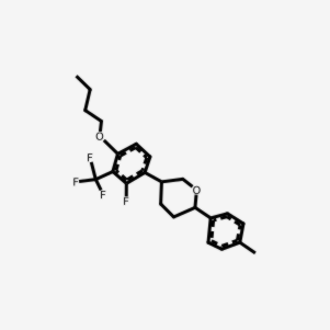 CCCCOc1ccc(C2CCC(c3ccc(C)cc3)OC2)c(F)c1C(F)(F)F